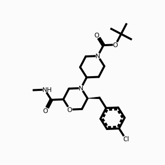 CNC(=O)C1CN(C2CCN(C(=O)OC(C)(C)C)CC2)[C@@H](Cc2ccc(Cl)cc2)CO1